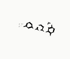 CN(c1ccnc(Nc2cccc(NS(C)(=O)=O)c2)n1)c1c(Cl)ccc2c1OCO2